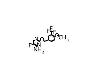 COc1ccc(COc2ncc(F)c(N)n2)cc1C(F)(F)F